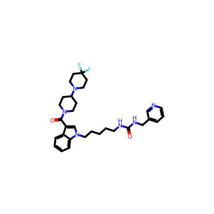 O=C(NCCCCCn1cc(C(=O)N2CCC(N3CCC(F)(F)CC3)CC2)c2ccccc21)NCc1cccnc1